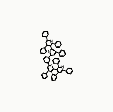 c1ccc(-c2cc(-c3cccc(-c4cc(-c5ccccc5)cc(-c5c(-c6ccccc6)cc(-c6ccccc6)nc5-c5ccccc5)n4)c3)nc(-c3c(-c4ccccc4)cc(-c4ccccc4)nc3-c3ccccc3)c2)cc1